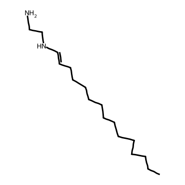 CCCCCCCCCCCCC/C=C/NCCN